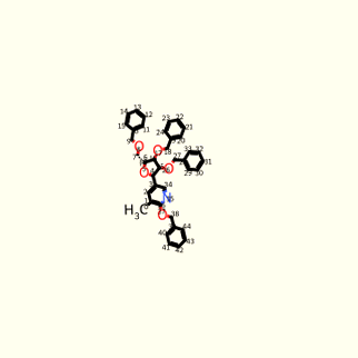 Cc1cc(C2O[C@H](COCc3ccccc3)C(OCc3ccccc3)C2OCc2ccccc2)cnc1OCc1ccccc1